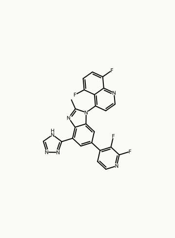 Cc1nc2c(-c3nnc[nH]3)cc(-c3ccnc(F)c3F)cc2n1-c1ccnc2c(F)ccc(F)c12